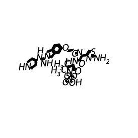 CC1(C)C(NC(=O)/C(=N\OCCOc2ccc3c(c2)CN(C(=N)NC2CCNCC2)C3)c2csc(N)n2)C(=O)N1OS(=O)(=O)O